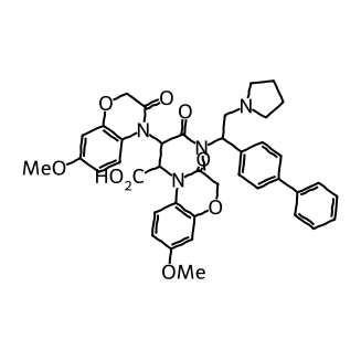 COc1ccc2c(c1)OCC(=O)N2C(C(=O)O)C(C(=O)N(C)C(CN1CCCC1)c1ccc(-c2ccccc2)cc1)N1C(=O)COc2cc(OC)ccc21